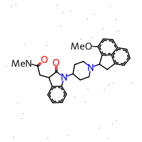 CNC(=O)CC1C(=O)N(C2CCN(C3Cc4cccc5ccc(OC)c3c45)CC2)c2ccccc21